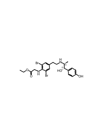 CCOC(=O)CNc1c(Br)cc(CCN[C@@H](C)[C@@H](O)c2ccc(O)cc2)cc1Br